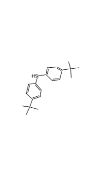 CC(C)(C)c1ccc([SiH]c2ccc(C(C)(C)C)cc2)cc1